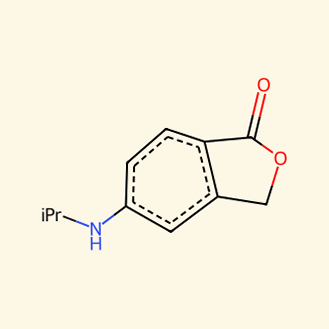 CC(C)Nc1ccc2c(c1)COC2=O